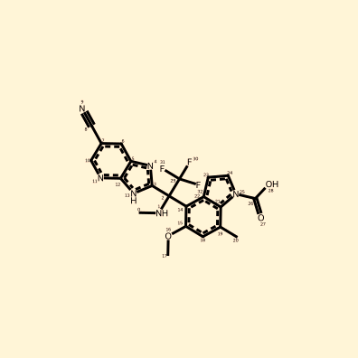 CNC(c1nc2cc(C#N)cnc2[nH]1)(c1c(OC)cc(C)c2c1ccn2C(=O)O)C(F)(F)F